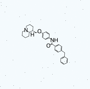 O=C(Nc1ccc(OC[C@@H]2CCCN3CCCC[C@H]23)cc1)c1ccc(Cc2ccccc2)cc1